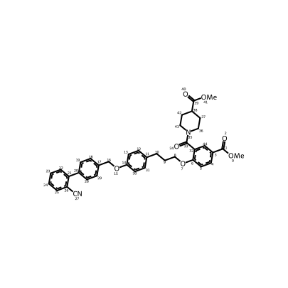 COC(=O)c1ccc(OCCCc2ccc(OCc3ccc(-c4ccccc4C#N)cc3)cc2)c(C(=O)N2CCC(C(=O)OC)CC2)c1